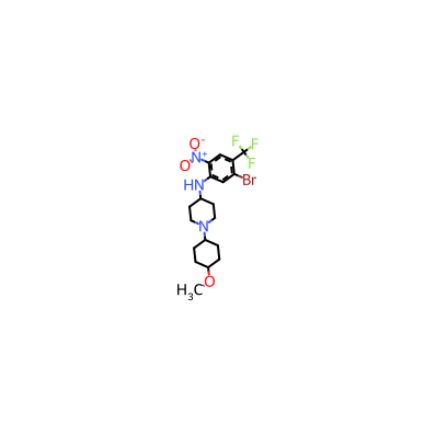 COC1CCC(N2CCC(Nc3cc(Br)c(C(F)(F)F)cc3[N+](=O)[O-])CC2)CC1